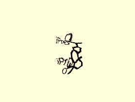 CC(C)OC(=O)C(C)c1ccc2c(c1)CCC1C(C)(C(=O)OC(C)C)CCCC21C